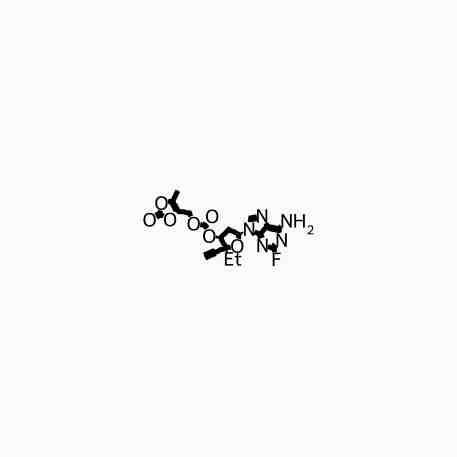 C#C[C@]1(CC)O[C@@H](n2cnc3c(N)nc(F)nc32)C[C@@H]1OC(=O)OCc1oc(=O)oc1C